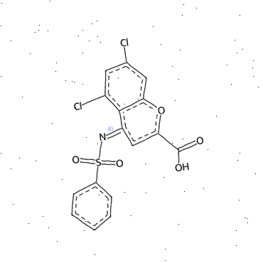 O=C(O)c1c/c(=N\S(=O)(=O)c2ccccc2)c2c(Cl)cc(Cl)cc2o1